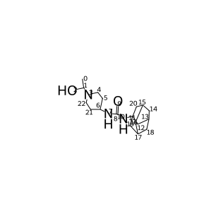 CC(O)N1CCC(NC(=O)NC23CC4CC(CC(C4)C2)C3)CC1